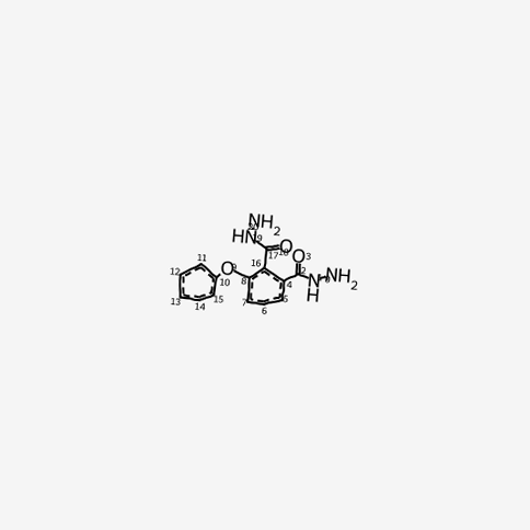 NNC(=O)c1cccc(Oc2ccccc2)c1C(=O)NN